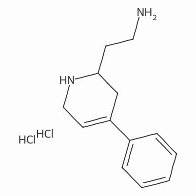 Cl.Cl.NCCC1CC(c2ccccc2)=CCN1